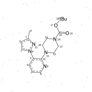 Cc1ccn(-c2cccnc2N2CCN(C(=O)OC(C)(C)C)CC2)n1